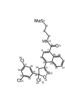 CSCCCNC(=O)c1ccc(C2=NOC(c3cc(Cl)cc(Cl)c3)(C(F)(F)F)C2)c2ccccc12